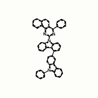 c1ccc(-c2nc(-n3c4ccccc4c4c(-c5ccc6c(c5)c5ccccc5n6-c5ccccc5)cccc43)nc3c2ccc2ccccc23)cc1